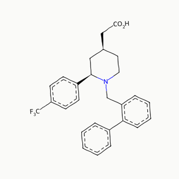 O=C(O)C[C@H]1CCN(Cc2ccccc2-c2ccccc2)[C@@H](c2ccc(C(F)(F)F)cc2)C1